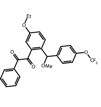 CCOc1ccc(C(OC)c2ccc(OC(F)(F)F)cc2)c(C(=O)C(=O)c2ccccc2)c1